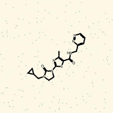 Cc1nc(N2CCN(CC3CC3)C2=O)sc1C(=O)NCc1cccnn1